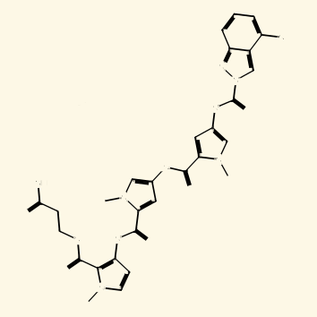 Cl.Cn1cc(NC(=O)n2cc3c([N+](=O)[O-])cccc3n2)cc1C(=O)Nc1cc(C(=O)Nc2ccn(C)c2C(=O)NCCC(N)=O)n(C)c1